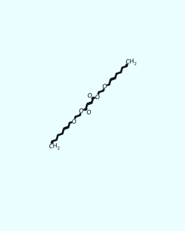 C=CCCCC=CCOCCOC(=O)C=CC(=O)OCCOCC=CCCCC=C